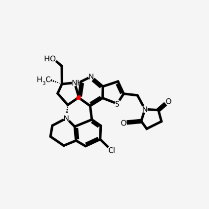 C[C@@]1(CO)C[C@@H](N2CCCc3cc(Cl)cc(-c4ccnc5cc(CN6C(=O)CCC6=O)sc45)c32)CN1